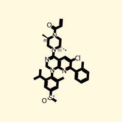 C=CC(=O)N1C[C@H](C)N(C2=NCN(c3c(C)cc([S+](C)[O-])cc3C(C)C)c3nc(-c4ccccc4C)c(Cl)cc32)C[C@H]1C